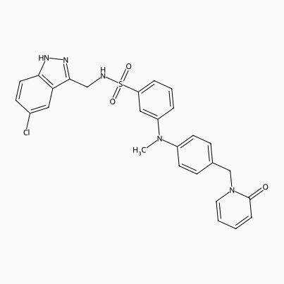 CN(c1ccc(Cn2ccccc2=O)cc1)c1cccc(S(=O)(=O)NCc2n[nH]c3ccc(Cl)cc23)c1